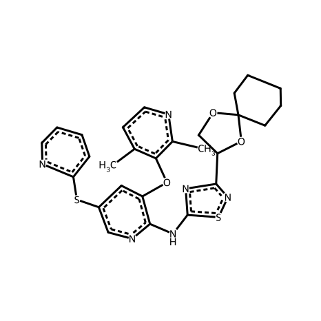 Cc1ccnc(C)c1Oc1cc(Sc2ccccn2)cnc1Nc1nc(C2COC3(CCCCC3)O2)ns1